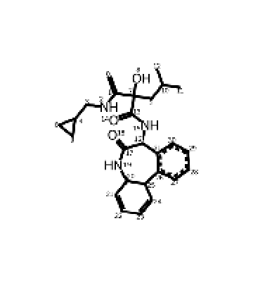 C=C(NCC1CC1)C(O)(CC(C)C)C(=O)N[C@@H]1C(=O)NC2C=CC=CC2c2ccccc21